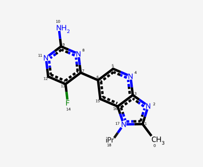 Cc1nc2ncc(-c3nc(N)ncc3F)cc2n1C(C)C